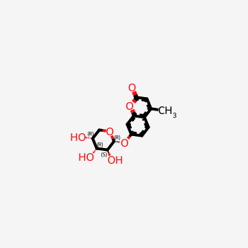 Cc1cc(=O)oc2cc(O[C@H]3OC[C@@H](O)[C@@H](O)[C@@H]3O)ccc12